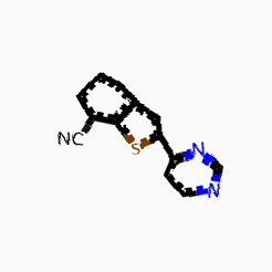 N#Cc1cccc2cc(-c3ccncn3)sc12